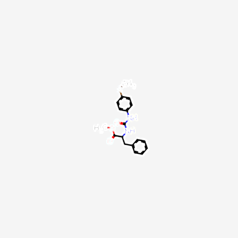 COC(=O)C(Cc1ccccc1)NC(=O)Nc1ccc(SC)cc1